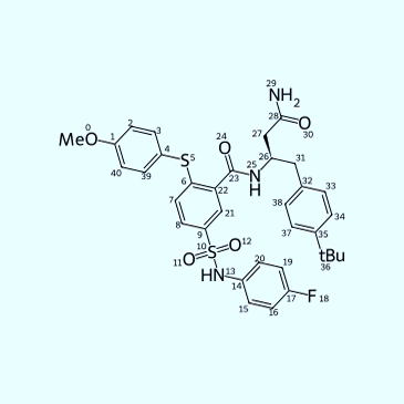 COc1ccc(Sc2ccc(S(=O)(=O)Nc3ccc(F)cc3)cc2C(=O)N[C@@H](CC(N)=O)Cc2ccc(C(C)(C)C)cc2)cc1